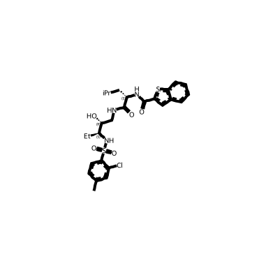 CC[C@H](NS(=O)(=O)c1ccc(C)cc1Cl)[C@H](O)CNC(=O)[C@H](CC(C)C)NC(=O)c1cc2ccccc2s1